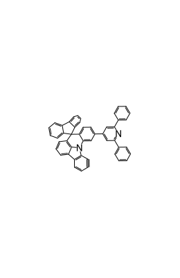 c1ccc2c3cccc4c3n(c2c#1)-c1cc(-c2cc(-c3ccccc3)nc(-c3ccccc3)c2)ccc1C41c2ccccc2-c2ccccc21